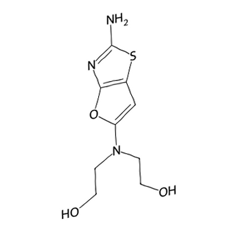 Nc1nc2oc(N(CCO)CCO)cc2s1